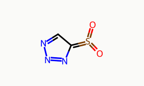 O=S(=O)=C1C=NN=N1